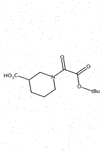 CC(C)(C)OC(=O)C(=O)N1CCCC(C(=O)O)C1